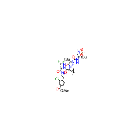 COC(=O)c1ccc(CCNC(=O)[C@H](CC(F)F)NC(=O)[C@@H]2C3C(CN2C(=O)[C@@H](NC(=O)N[C@H](CN(C)S(C)(=O)=O)C(C)(C)C)C(C)(C)C)C3(C)C)c(Cl)c1